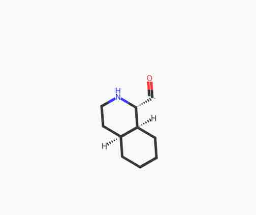 O=[C][C@H]1NCC[C@@H]2CCCC[C@@H]21